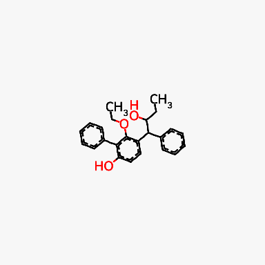 CCOc1c(C(c2ccccc2)C(O)CC)ccc(O)c1-c1ccccc1